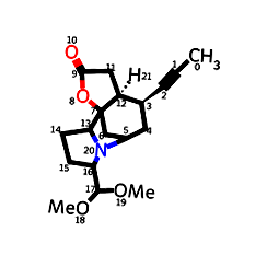 CC#C[C@H]1CC2CC3(OC(=O)C[C@@H]13)C1CCC(C(OC)OC)N21